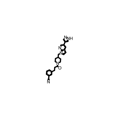 N#Cc1cccc(CCC(=O)N2CCC(Cn3ccc4cc(-c5cn[nH]c5)cnc43)CC2)c1